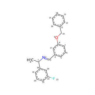 CC(N=Cc1cccc(OCc2ccccc2)c1)c1cccc(F)c1